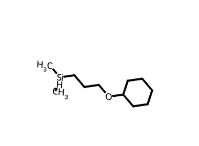 C[SiH](C)CCCOC1CCCCC1